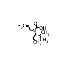 C=CCN(C(=O)O)[C@H](C=C)C(C)C